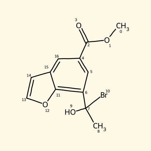 COC(=O)c1cc(C(C)(O)Br)c2occc2c1